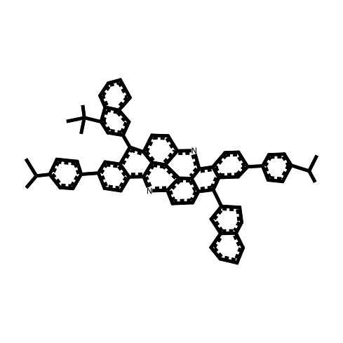 CC(C)c1ccc(-c2ccc3c(c2)c(-c2ccc4ccccc4c2)c2ccc4nc5c6ccc(-c7ccc(C(C)C)cc7)cc6c(-c6cc(C(C)(C)C)c7ccccc7c6)c6ccc7nc3c2c4c7c65)cc1